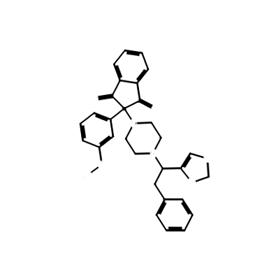 COc1cccc(C2(N3CCN(C(Cc4ccccc4)C4=COCO4)CC3)C(=O)c3ccccc3C2=O)c1